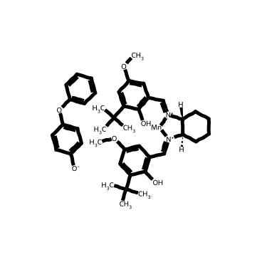 COc1cc(C=[N+]2[Mn][N+](=Cc3cc(OC)cc(C(C)(C)C)c3O)[C@@H]3CCCC[C@H]32)c(O)c(C(C)(C)C)c1.[O-]c1ccc(Oc2ccccc2)cc1